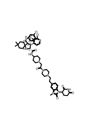 Cn1c(=O)n(C2CCC(=O)NC2=O)c2ccc(CCN3CCN(C(=O)CN4CCC(NC(=O)[C@@H]5NC6(CCC(C)(C)CC6)[C@@]6(C(=O)Nc7cc(Cl)ccc76)[C@H]5c5ccnc(Cl)c5F)CC4)CC3)cc21